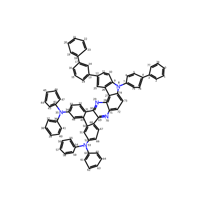 c1ccc(-c2ccc(-n3c4ccc(-c5cccc(-c6ccccc6)c5)cc4c4c5nc6c7ccc(N(c8ccccc8)c8ccccc8)cc7c7cc(N(c8ccccc8)c8ccccc8)ccc7c6nc5ccc43)cc2)cc1